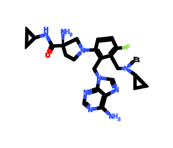 CCN(Cc1c(F)ccc(N2CC[C@](N)(C(=O)NC3CC3)C2)c1Cn1cnc2c(N)ncnc21)C1CC1